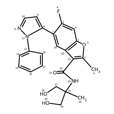 Cc1oc2cc(F)c(-c3ccnn3-c3ccccc3)cc2c1C(=O)NC(C)(CO)CO